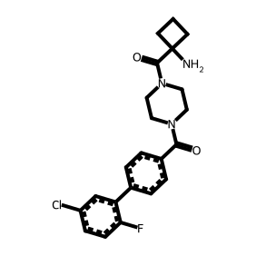 NC1(C(=O)N2CCN(C(=O)c3ccc(-c4cc(Cl)ccc4F)cc3)CC2)CCC1